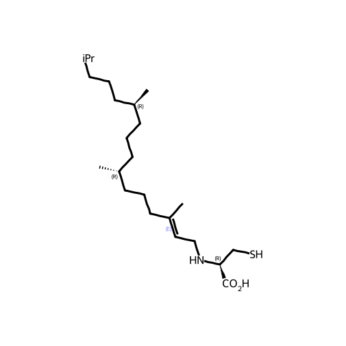 C/C(=C\CN[C@@H](CS)C(=O)O)CCC[C@H](C)CCC[C@H](C)CCCC(C)C